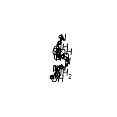 Cc1ncsc1-c1ccc([C@H](C)NC(=O)[C@@H]2C[C@@H](O)CN2C(=O)[C@H](c2cc(N3CCC(OC4CCN(CC5CC(CN6CCC([C@H](C)n7cc(-c8cc(-c9ccccc9O)nnc8N)cn7)CC6)C5)CC4)CC3)no2)C(C)C)cc1